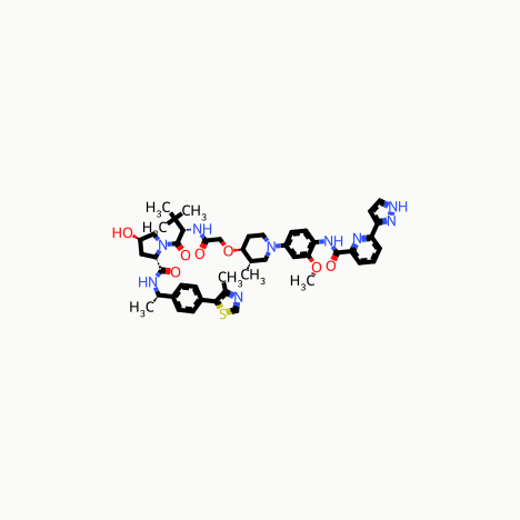 COc1cc(N2CC[C@H](OCC(=O)N[C@H](C(=O)N3C[C@H](O)C[C@H]3C(=O)N[C@@H](C)c3ccc(-c4scnc4C)cc3)C(C)(C)C)[C@@H](C)C2)ccc1NC(=O)c1cccc(-c2cc[nH]n2)n1